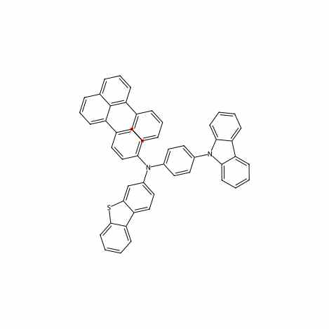 c1ccc(-c2cccc3cccc(-c4ccc(N(c5ccc(-n6c7ccccc7c7ccccc76)cc5)c5ccc6c(c5)sc5ccccc56)cc4)c23)cc1